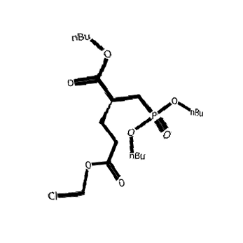 CCCCOC(=O)[C@H](CCC(=O)OCCl)CP(=O)(OCCCC)OCCCC